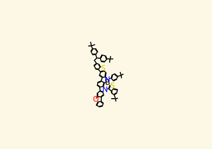 CC(C)(C)c1ccc(C(Cc2ccc3c(c2)sc2cc4c(cc23)-c2ccc3c5cc6oc7ccccc7c6cc5n5c3c2B(c2sc3ccc(C(C)(C)C)cc3c2-5)N4c2ccc(C(C)(C)C)cc2)c2ccc(C(C)(C)C)cc2)cc1